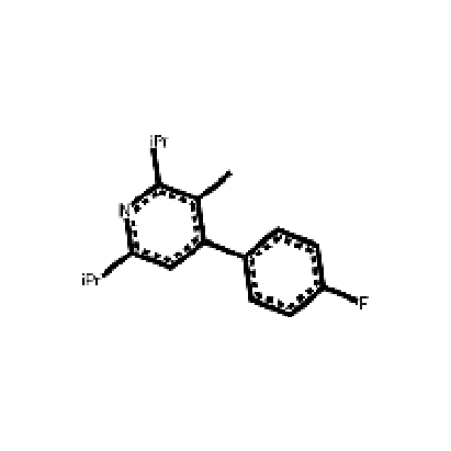 Cc1c(-c2ccc(F)cc2)cc(C(C)C)nc1C(C)C